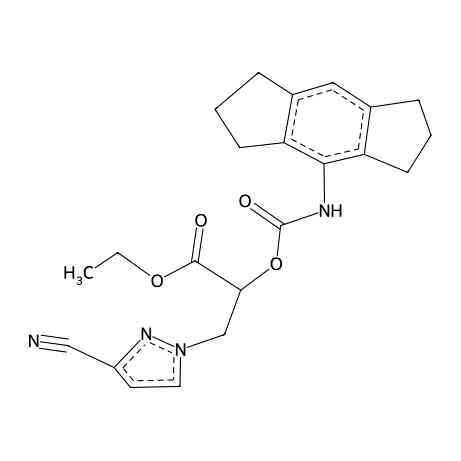 CCOC(=O)C(Cn1ccc(C#N)n1)OC(=O)Nc1c2c(cc3c1CCC3)CCC2